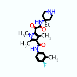 CCC1(NC(=O)C(=O)c2c(C)c(C(=O)Nc3ccc(F)c(C)c3)c(C)n2C)CCNCC1